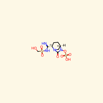 N=C(NS(=O)(=O)CO)[C@@H]1CC[C@@H]2CN1C(=O)N2OS(=O)(=O)O